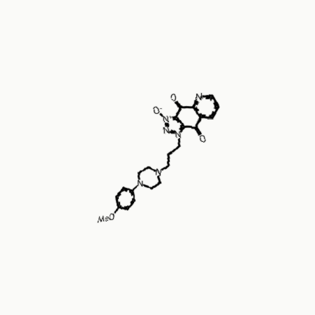 COc1ccc(N2CCN(CCCn3n[n+]([O-])c4c3C(=O)c3cccnc3C4=O)CC2)cc1